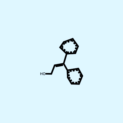 OCC=C(c1ccccc1)c1ccccc1